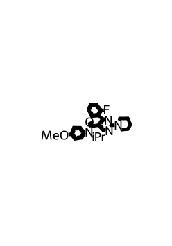 COc1ccc(N(C(=O)c2cnc(N3CCCCC3)nc2-c2ccccc2F)C(C)C)cc1